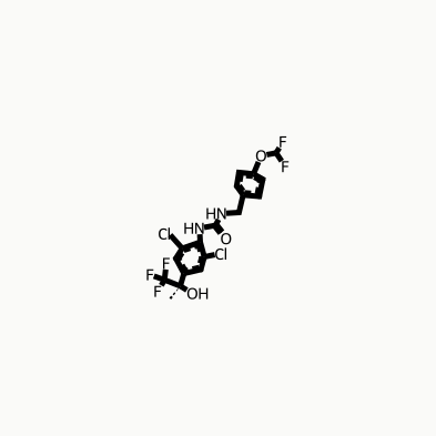 C[C@@](O)(c1cc(Cl)c(NC(=O)NCc2ccc(OC(F)F)cc2)c(Cl)c1)C(F)(F)F